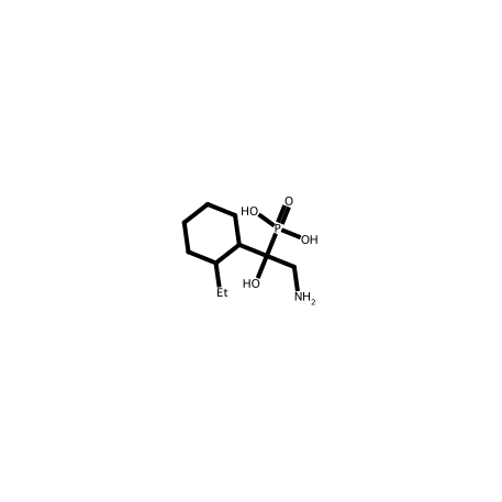 CCC1CCCCC1C(O)(CN)P(=O)(O)O